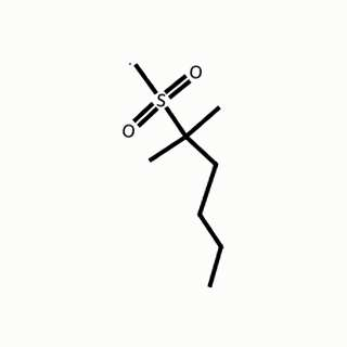 [CH2]S(=O)(=O)C(C)(C)CCCC